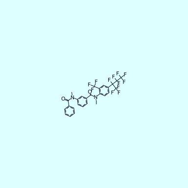 CN(C(=O)c1ccccc1)c1cccc(C(=O)N(I)c2ccc(C(F)(C(F)(F)F)C(F)(F)C(F)(F)F)cc2C(F)(F)F)c1